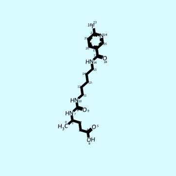 CC(CCC(=O)O)NC(=O)NCCCCCNC(=O)c1ccc([18F])nc1